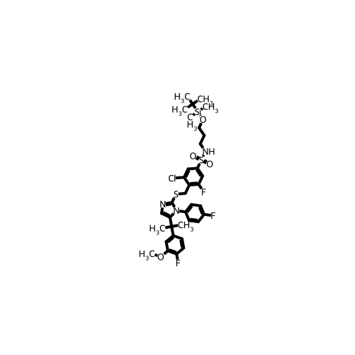 COc1cc(C(C)(C)c2cnc(SCc3c(F)cc(S(=O)(=O)NCCCO[Si](C)(C)C(C)(C)C)cc3Cl)n2-c2ccc(F)cc2)ccc1F